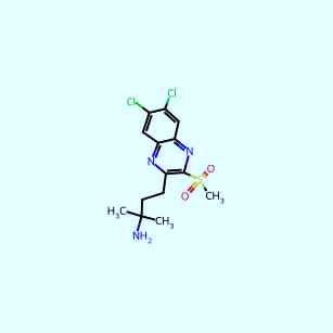 CC(C)(N)CCc1nc2cc(Cl)c(Cl)cc2nc1S(C)(=O)=O